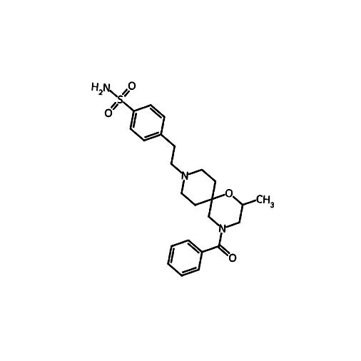 CC1CN(C(=O)c2ccccc2)CC2(CCN(CCc3ccc(S(N)(=O)=O)cc3)CC2)O1